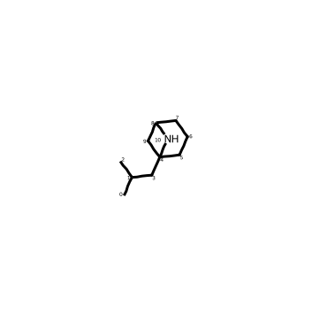 CC(C)CC12CCCC(C1)N2